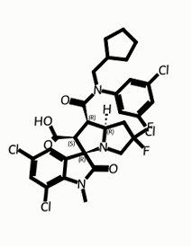 CN1C(=O)[C@]2(c3cc(Cl)cc(Cl)c31)[C@@H](C(=O)O)[C@@H](C(=O)N(CC1CCCC1)c1cc(Cl)cc(Cl)c1)[C@H]1CC(F)(F)CN12